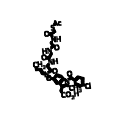 C=C/C=C/N(Oc1ccc2c(c1)c(CC(=O)O)c(C)n2C(=O)c1ccc(Cl)cc1)C(=O)CNC(=O)CNC(=O)CNC(=O)CSC(C)=O